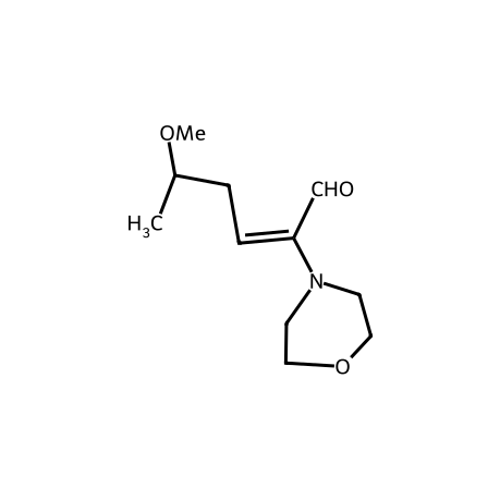 COC(C)CC=C(C=O)N1CCOCC1